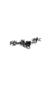 CC(=O)N1CCC(CCn2cc(Cl)c(C(=O)Nc3ncc(C#Cc4ccc(F)cc4)cc3C)n2)CC1